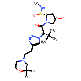 CN[S+]([O-])[C@@H]1C[C@@H](O)CN1C(=O)[C@@H](n1cc(CCN2CCOC(C)(C)C2)nn1)C(C)(C)C